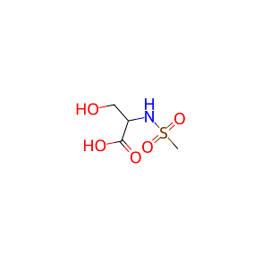 CS(=O)(=O)NC(CO)C(=O)O